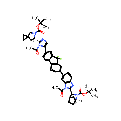 CC(=O)n1c(-c2ccc3c(c2)C(F)(F)c2cc(-c4ccc5nc(C6C7CC[C@H](C7)N6C(=O)OC(C)(C)C)n(C(C)=O)c5c4)ccc2-3)cnc1[C@@H]1CC2(CC2)CN1C(=O)OC(C)(C)C